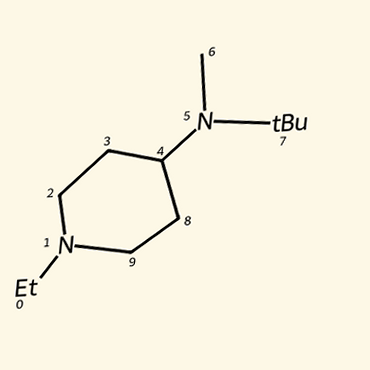 CCN1CCC(N(C)C(C)(C)C)CC1